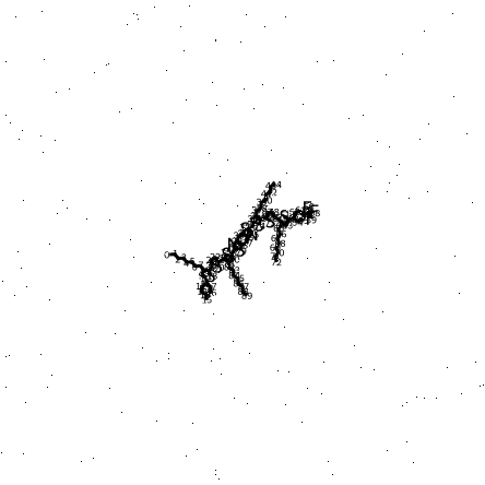 CCCCCCCCc1cc(-c2ccc(C)cc2)sc1-c1ccc(-c2sc(-c3nc4cc5sc(-c6cc(CCCCCCCC)c(-c7ccc(-c8sc(-c9ccc(C(F)(F)F)cc9)cc8CCCCCCCC)s7)s6)nc5cc4s3)cc2CCCCCCCC)s1